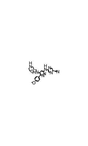 COc1ccc(-c2nnc(Nc3cnc(C#N)cn3)cc2NC[C@@H]2CNCCO2)cc1